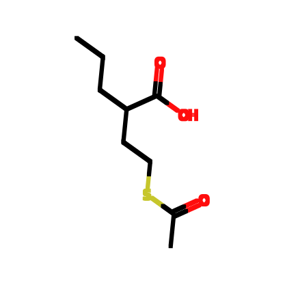 CCCC(CCSC(C)=O)C(=O)O